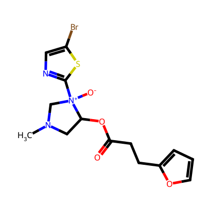 CN1CC(OC(=O)CCc2ccco2)[N+]([O-])(c2ncc(Br)s2)C1